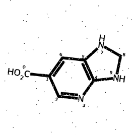 O=C(O)c1cnc2c(c1)NCN2